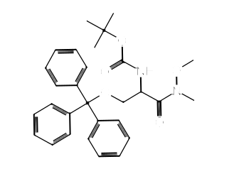 CON(C)C(=O)C(COC(c1ccccc1)(c1ccccc1)c1ccccc1)NC(=O)OC(C)(C)C